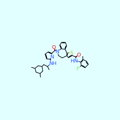 Cc1cccc(F)c1NC(=O)c1cc2c(s1)-c1ccccc1N(C(=O)c1cccc(NC(C)CC3CC(C)CC(C)C3)n1)CC2